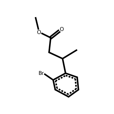 COC(=O)CC(C)c1ccccc1Br